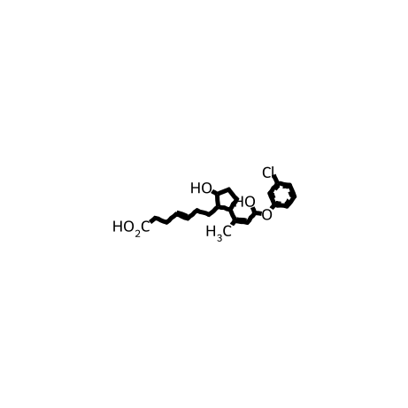 CC(=CC(O)Oc1cccc(Cl)c1)C1CCC(O)C1CCC=CCCC(=O)O